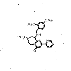 CCOC(=O)N1CCn2c(nc(-c3ccncn3)cc2=O)C(NCc2ccc(OC)cc2OC)C1